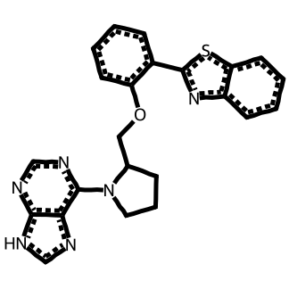 c1ccc(-c2nc3ccccc3s2)c(OCC2CCCN2c2ncnc3[nH]cnc23)c1